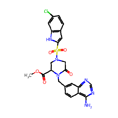 COC(=O)C1CN(S(=O)(=O)c2cc3ccc(Cl)cc3[nH]2)CC(=O)N1Cc1ccc2c(N)ncnc2c1